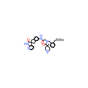 CNCc1ccccc1CN(CC(=O)Nc1ccc2c(c1)CC1(C2)C(=O)Nc2ncccc21)C(=O)C1(C)CCN(C)CC1